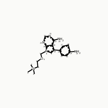 C[Si](C)(C)CCOCn1cc(-c2ccc(N)cc2)c2c(N)ncnc21